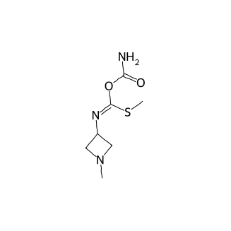 CSC(=NC1CN(C)C1)OC(N)=O